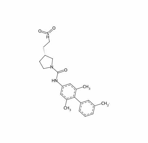 [CH2]c1cccc(-c2c(C)cc(NC(=O)N3CC[C@H](CC[SH](=O)=O)C3)cc2C)c1